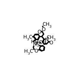 CCOC(=O)CC(c1ccc(C)c(CN2C[C@@H](C)Oc3ccccc3S2(O)O)c1)c1cccc(=O)n1C